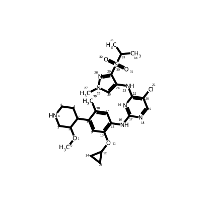 COC1CNCCC1c1cc(OC2CC2)c(Nc2ncc(Cl)c(Nc3cn(C)nc3S(=O)(=O)C(C)C)n2)cc1C